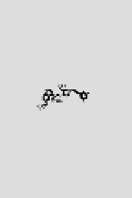 COc1ccc2nccc([C@@H](CC[C@@H]3CCN(CC#Cc4cc(F)cc(F)c4F)C[C@@H]3CO)NO)c2c1